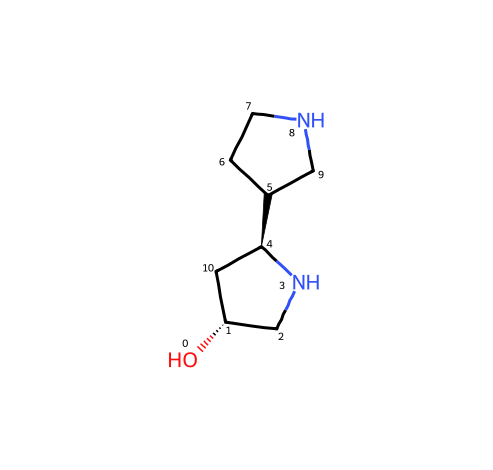 O[C@H]1CN[C@H](C2CCNC2)C1